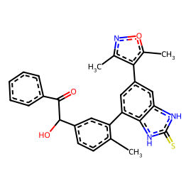 Cc1ccc(C(O)C(=O)c2ccccc2)cc1-c1cc(-c2c(C)noc2C)cc2[nH]c(=S)[nH]c12